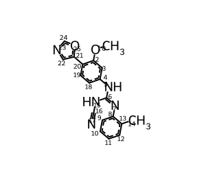 COc1cc(N/C(=N/c2ccccc2C)NC#N)ccc1-c1cnco1